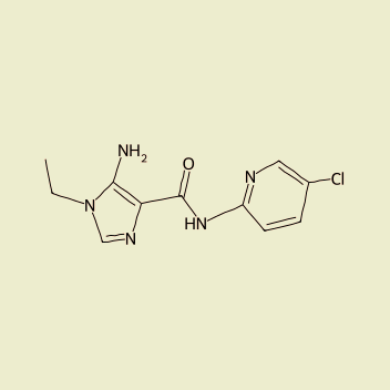 CCn1cnc(C(=O)Nc2ccc(Cl)cn2)c1N